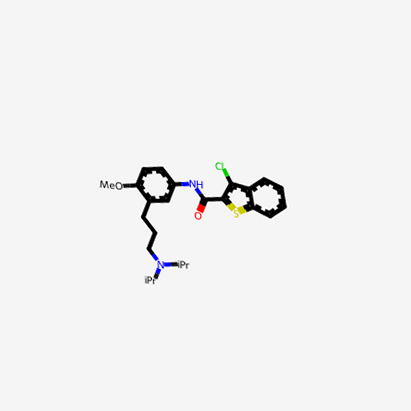 COc1ccc(NC(=O)c2sc3ccccc3c2Cl)cc1CCCN(C(C)C)C(C)C